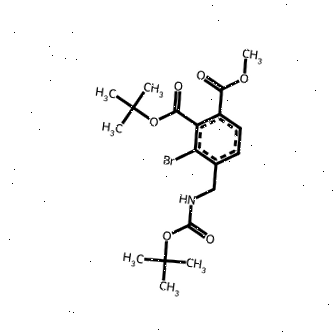 COC(=O)c1ccc(CNC(=O)OC(C)(C)C)c(Br)c1C(=O)OC(C)(C)C